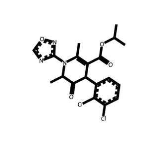 CC1=C(C(=O)OC(C)C)C(c2cccc(Cl)c2Cl)C(=O)C(C)N1c1ncon1